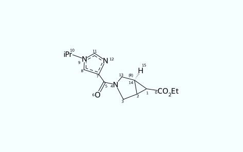 CCOC(=O)C1C2CN(C(=O)c3cn(C(C)C)cn3)C[C@H]21